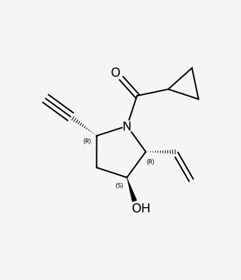 C#C[C@H]1C[C@H](O)[C@@H](C=C)N1C(=O)C1CC1